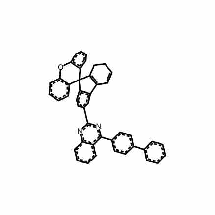 C1=CC2=C(CC1)C1(c3ccccc3Oc3ccccc31)c1ccc(-c3nc(-c4ccc(-c5ccccc5)cc4)c4ccccc4n3)cc12